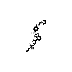 CCCNC(=O)Cn1cc(-c2cccc3nc(Nc4ccc(OCCN5CCCC5)cc4)nn23)cn1